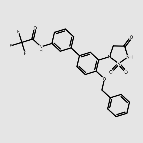 O=C1CN(c2cc(-c3cccc(NC(=O)C(F)(F)F)c3)ccc2OCc2ccccc2)S(=O)(=O)N1